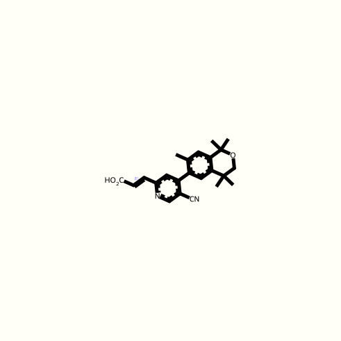 Cc1cc2c(cc1-c1cc(/C=C/C(=O)O)ncc1C#N)C(C)(C)COC2(C)C